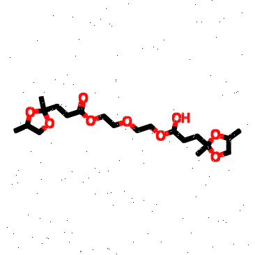 CC1COC(C)(CCC(=O)OCCOCCOC(O)CCC2(C)OCC(C)O2)O1